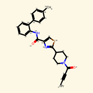 CCCC#CC(=O)N1CCC(c2nc(C(=O)Nc3ccccc3-c3ccc(C)cc3)cs2)CC1